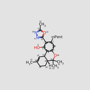 CCCCCc1cc2c(c(O)c1-c1nnc(C)o1)C1C=C(C)CC[C@H]1C(C)(C)O2